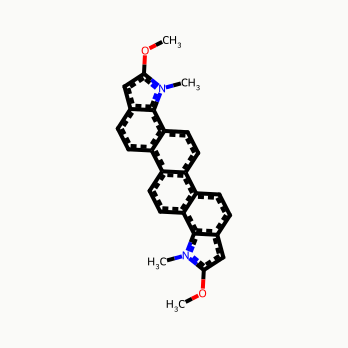 COc1cc2ccc3c4ccc5c(ccc6cc(OC)n(C)c65)c4ccc3c2n1C